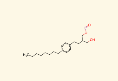 CCCCCCCCc1ccc(CCC(CO)COP=O)cc1